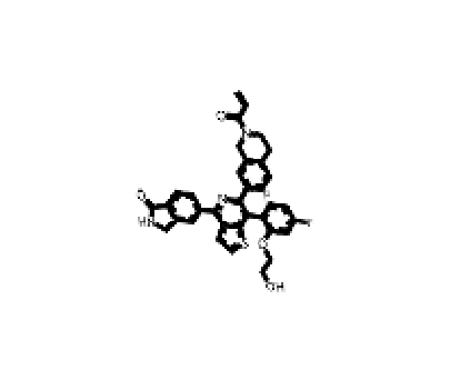 C=CC(=O)N1CCc2ccc(-c3nc(-c4ccc5c(c4)CNC5=O)c4ccsc4c3-c3c(F)cc(F)cc3OCCO)cc2C1